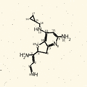 N=C/C=C(\N)C1Cc2nc(N)cc(NCC3CC3)c2S1